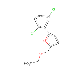 O=C(O)COCc1ccc(-c2cc(Cl)ccc2Cl)o1